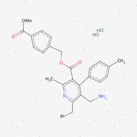 COC(=O)c1ccc(COC(=O)c2c(C)nc(CC(C)C)c(CN)c2-c2ccc(C)cc2)cc1.Cl.Cl